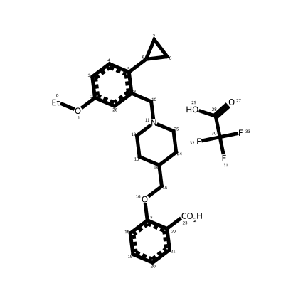 CCOc1ccc(C2CC2)c(CN2CCC(COc3ccccc3C(=O)O)CC2)c1.O=C(O)C(F)(F)F